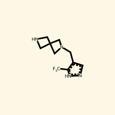 FC(F)(F)c1[nH]ncc1CN1CC2(CNC2)C1